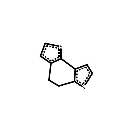 c1cc2c(s1)CCc1ccsc1-2